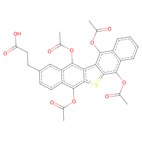 CC(=O)Oc1c2ccccc2c(OC(C)=O)c2c1sc1c(OC(C)=O)c3ccc(CCC(=O)O)cc3c(OC(C)=O)c12